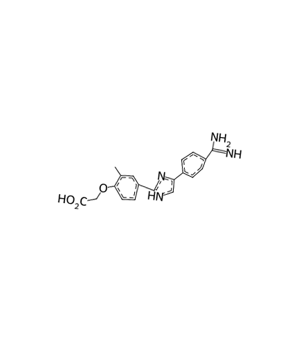 Cc1cc(-c2nc(-c3ccc(C(=N)N)cc3)c[nH]2)ccc1OCC(=O)O